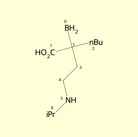 BC(CCCC)(CCNC(C)C)C(=O)O